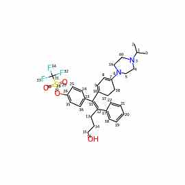 CC(C)N1CCN(C2=CC=C(/C(=C(/CCCO)c3ccccc3)c3ccc(OS(=O)(=O)C(F)(F)F)cc3)CC2)CC1